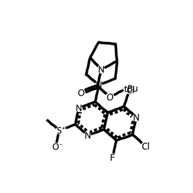 C[S+]([O-])c1nc(N2CC3CCC(C2)N3C(=O)OC(C)(C)C)c2c(Cl)nc(Cl)c(F)c2n1